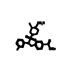 COC(=O)c1ccc(CN(c2cccc(C)c2)S(=O)(=O)N2CCN(C(=O)O)[C@H](C)C2)nc1